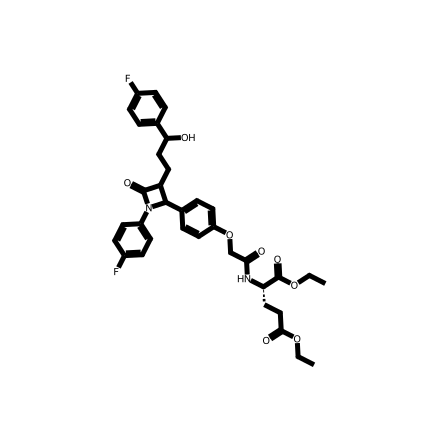 CCOC(=O)CC[C@H](NC(=O)COc1ccc(C2C(CCC(O)c3ccc(F)cc3)C(=O)N2c2ccc(F)cc2)cc1)C(=O)OCC